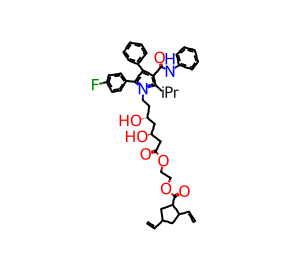 C=CC1CC(C=C)C(C(=O)OCCOC(=O)C[C@H](O)C[C@H](O)CCn2c(-c3ccc(F)cc3)c(-c3ccccc3)c(C(=O)Nc3ccccc3)c2C(C)C)C1